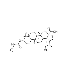 C[C@@H](CO)[C@@H]1CC[C@]2(C(=O)O)CC[C@]3(C)C(CC[C@@H]4[C@@]5(C)CC[C@H](OC(=O)NC6CC6)C(C)(C)[C@@H]5CC[C@]43C)[C@H]12